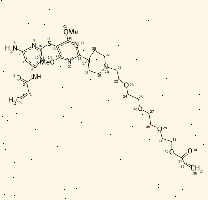 C=CC(=O)Nc1cc(N)nc(Sc2c(OC)nc(N3CCN(CCOCCOCCOCCOC(=O)C=C)CC3)nc2OC)n1